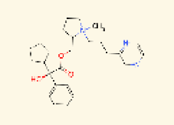 C[N+]1(CCCc2cnccn2)CCCC1COC(=O)[C@](O)(c1ccccc1)C1CCCC1